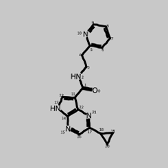 O=C(NCCc1ccccn1)c1c[nH]c2ncc(C3CC3)nc12